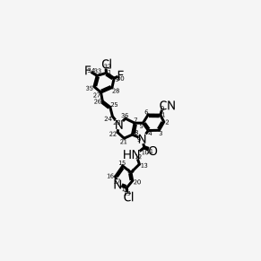 N#Cc1ccc2c(c1)c1c(n2C(=O)NCc2ccnc(Cl)c2)CCN(C/C=C/c2cc(F)c(Cl)c(F)c2)C1